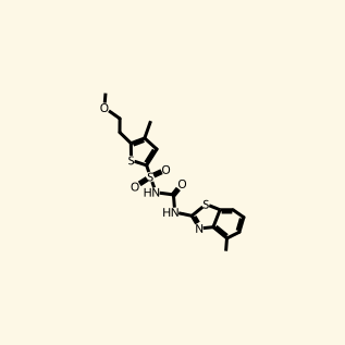 COCCc1sc(S(=O)(=O)NC(=O)Nc2nc3c(C)cccc3s2)cc1C